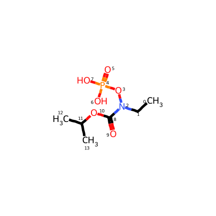 CCN(OP(=O)(O)O)C(=O)OC(C)C